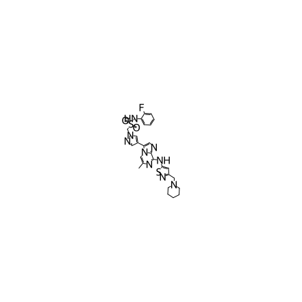 Cc1cn2c(-c3cnn(CS(=O)(=O)Nc4ccccc4F)c3)cnc2c(Nc2cc(CN3CCCCC3)ns2)n1